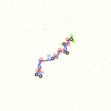 CN(CCN1CCC(OC(=O)Nc2ccccc2-c2ccccc2)CC1)C(=O)CCCCCNCc1ccc(C(=O)N(C)CCCN(C)C(=O)CO[C@H]2Cc3ccccc3C23CCN(CC[C@]2(c4ccc(F)cc4)CN(C(=O)c4cc(C(F)(F)F)cc(C(F)(F)F)c4)CO2)CC3)cc1